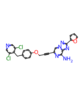 Nc1nc(C#CCOc2ccc(Cc3c(Cl)cncc3Cl)cc2)cn2nc(-c3ccco3)nc12